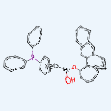 COB(O)Oc1cccc2ccc3cc4ccccc4cc3c12.c1ccc(P(c2ccccc2)c2ccccc2)cc1